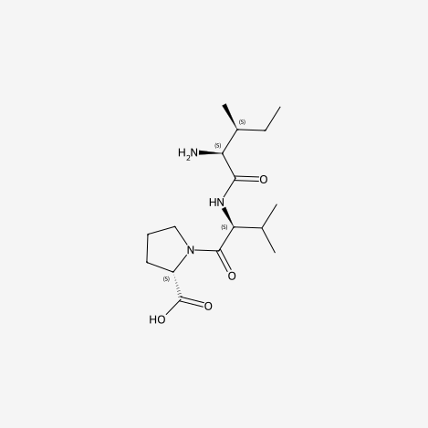 CC[C@H](C)[C@H](N)C(=O)N[C@H](C(=O)N1CCC[C@H]1C(=O)O)C(C)C